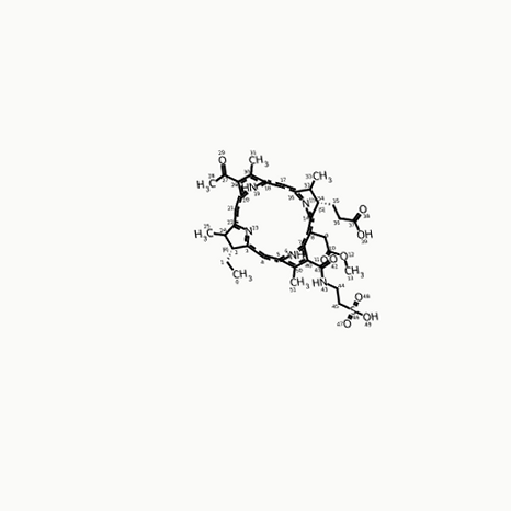 CC[C@H]1c2cc3[nH]c(c(CC(=O)OC)c4nc(cc5[nH]c(cc(n2)C1C)c(C(C)=O)c5C)C(C)[C@@H]4CCC(=O)O)c(C(=O)NCCS(=O)(=O)O)c3C